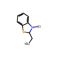 CCN1c2ccccc2SC1CC(C)(C)C